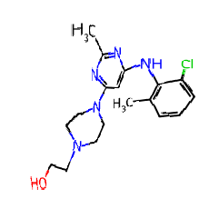 Cc1nc(Nc2c(C)cccc2Cl)cc(N2CCN(CCO)CC2)n1